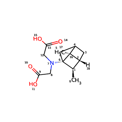 C[C@@H]1[C@H]2CC3C[C@@]1(N(CC(=O)O)CC(=O)O)[C@@]32C